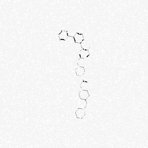 O=C(CN1CCC(CN2CCCCC2)CC1)N1CCC(Nc2ncc(Cl)c(-c3cccc(-c4ccccc4)c3)n2)CC1